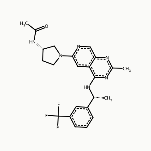 CC(=O)N[C@H]1CCN(c2cc3c(N[C@H](C)c4cccc(C(F)(F)F)c4)nc(C)nc3cn2)C1